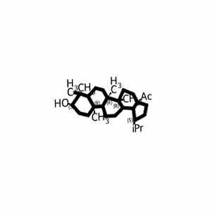 CC(=O)[C@]12CC[C@@H](C(C)C)C1C1CCC3[C@@]4(C)CC[C@H](O)C(C)(C)C4CC[C@@]3(C)[C@]1(C)CC2